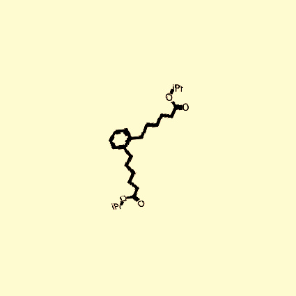 CC(C)OC(=O)CCCCCc1ccccc1CCCCCC(=O)OC(C)C